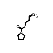 C=CCCOC(=O)N1CCCC1